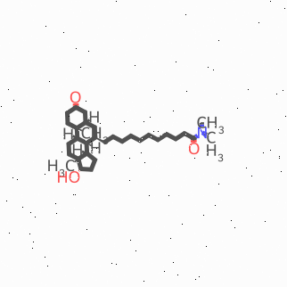 CN(C)C(=O)CCCCCCCCCC[C@@H]1C[C@H]2CC(=O)CC[C@]2(C)[C@H]2CC[C@]3(C)[C@@H](O)CC[C@H]3[C@H]12